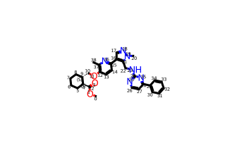 COC(=O)[C@H]1CCCC[C@@H]1COc1ccc(-c2cnn(C)c2CNc2nccc(-c3ccccc3)n2)nc1C